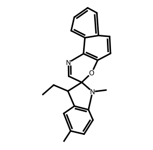 CCC1c2cc(C)ccc2N(C)C12C=Nc1c(ccc3ccccc13)O2